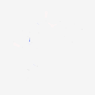 O=C(OCc1ccccc1)N1CCC[C@H](N2Cc3nc(Br)sc3C2=O)C1